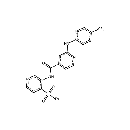 CC(C)S(=O)(=O)c1ccncc1NC(=O)c1ccnc(Nc2ccc(C(F)(F)F)cn2)c1